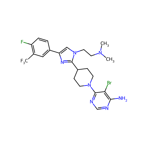 CN(C)CCn1cc(-c2ccc(F)c(C(F)(F)F)c2)nc1C1CCN(c2ncnc(N)c2Br)CC1